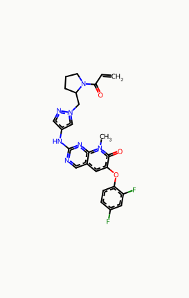 C=CC(=O)N1CCCC1Cn1cc(Nc2ncc3cc(Oc4ccc(F)cc4F)c(=O)n(C)c3n2)cn1